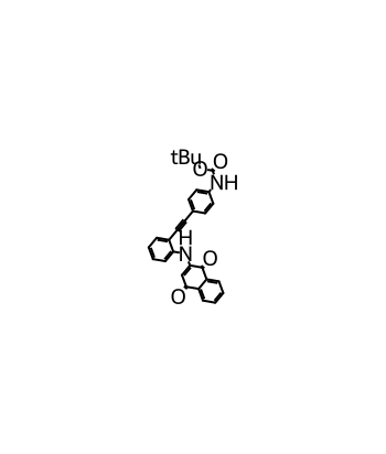 CC(C)(C)OC(=O)Nc1ccc(C#Cc2ccccc2NC2=CC(=O)c3ccccc3C2=O)cc1